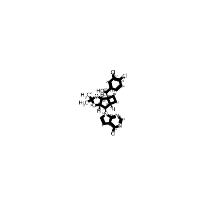 CC1(C)O[C@H]2[C@H](n3ccc4c(Cl)ncnc43)[C@H]3CC[C@@]3(C(O)c3ccc(Cl)c(Cl)c3)[C@H]2O1